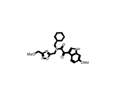 COCc1noc(CN(CC2CCCCC2)C(=O)C(=O)c2c[nH]c3cc(OC)ccc23)n1